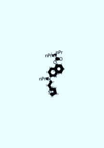 CCCN(CCC)C(=O)Oc1cccc2c1CCC(N(CCC)CCc1cccs1)C2